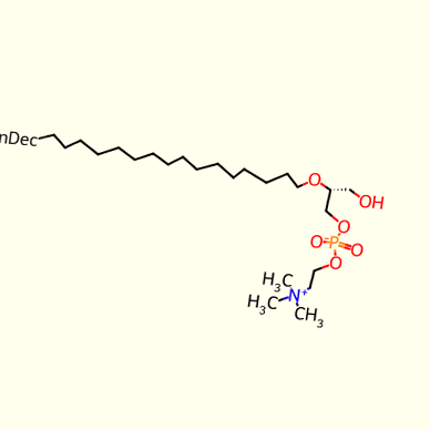 CCCCCCCCCCCCCCCCCCCCCCCCCCO[C@H](CO)COP(=O)([O-])OCC[N+](C)(C)C